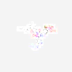 NCc1ccc(C(=O)N[C@@H](C(=O)N[C@H]2Cc3cccc(C(=O)O)c3OB2O)c2ccc(P(=O)(O)O)c(F)c2)cn1